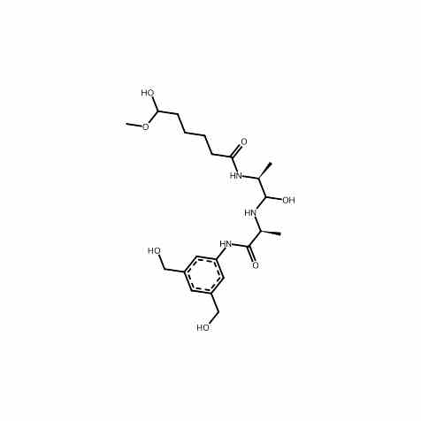 COC(O)CCCCC(=O)N[C@@H](C)C(O)N[C@@H](C)C(=O)Nc1cc(CO)cc(CO)c1